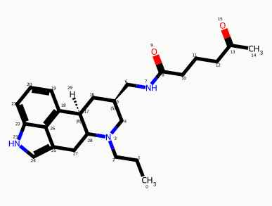 CCCN1C[C@H](CNC(=O)CCCC(C)=O)C[C@@H]2c3cccc4[nH]cc(c34)CC21